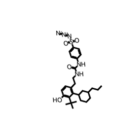 CCCC1CCCC(c2c(CCNC(=O)Nc3ccc(S(=O)(=O)N=[N+]=[N-])cc3)ccc(O)c2C(C)(C)C)C1